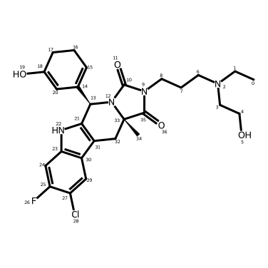 CCN(CCO)CCCN1C(=O)N2[C@H](C3=CCCC(O)=C3)c3[nH]c4cc(F)c(Cl)cc4c3C[C@@]2(C)C1=O